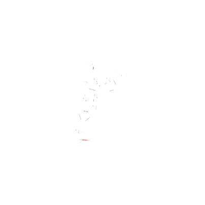 C=CCn1c(=O)c2cnc(Nc3cccc(CC4C(=O)C5CCN4CC5)c3)nc2n1-c1cccc(C(C)(C)O)n1